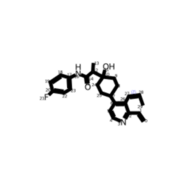 C=Cc1nccc(C2CCC(O)(C(C)C(=O)Nc3ccc(F)cc3)CC2)c1/C=C\C